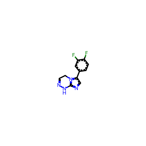 Fc1ccc(-c2cnc3n2CC=NN3)cc1F